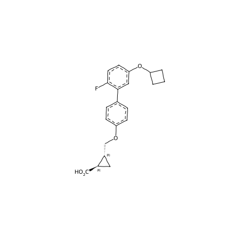 O=C(O)[C@@H]1C[C@H]1COc1ccc(-c2cc(OC3CCC3)ccc2F)cc1